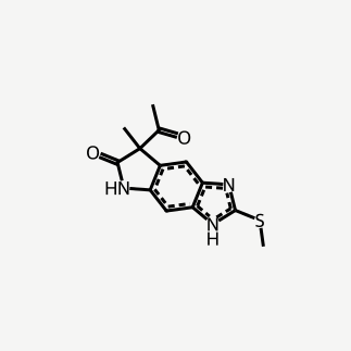 CSc1nc2cc3c(cc2[nH]1)NC(=O)C3(C)C(C)=O